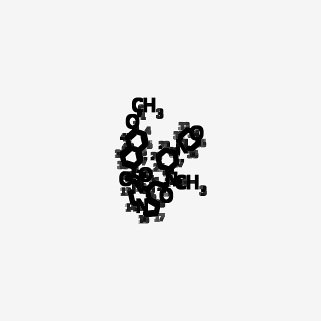 CCOc1ccc2cc(S(=O)(=O)N3CCn4cccc4C3CC(=O)N(C)[C@@H]3CCC[C@H](N4CCOCC4)C3)ccc2c1